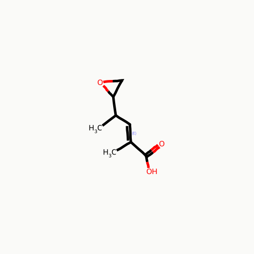 C/C(=C\C(C)C1CO1)C(=O)O